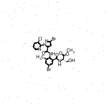 COC(=O)[C@H](CO)NC(=O)c1cc(Br)cc(C)c1NC(=O)c1cc(Br)nn1-c1ncccc1Cl